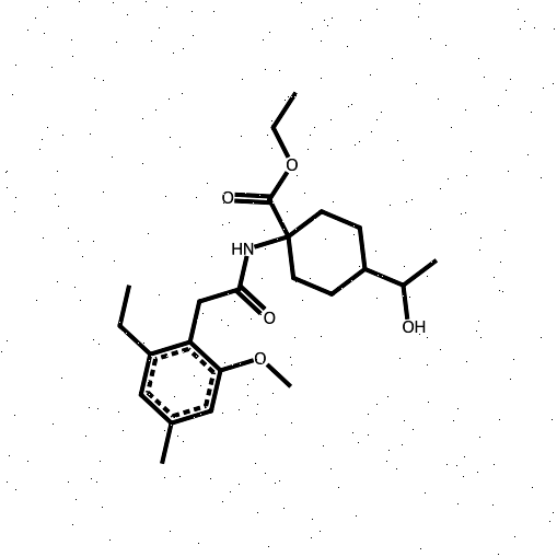 CCOC(=O)C1(NC(=O)Cc2c(CC)cc(C)cc2OC)CCC(C(C)O)CC1